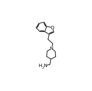 NCC1CCN(CCc2coc3ccccc23)CC1